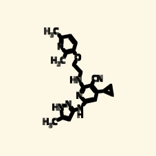 Cc1ccc(OCCNc2nc(Nc3cc(C)[nH]n3)cc(C3CC3)c2C#N)c(C)n1